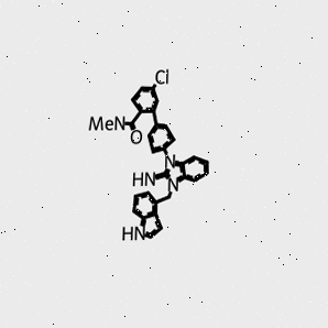 CNC(=O)c1ccc(Cl)cc1-c1ccc(-n2c(=N)n(Cc3cccc4[nH]ccc34)c3ccccc32)cc1